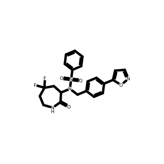 O=C1NCCC(F)(F)CC1N(Cc1ccc(-c2ccno2)cc1)S(=O)(=O)c1ccccc1